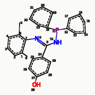 Cc1cccc(C)c1/N=C(/NP(c1ccccc1)c1ccccc1)c1ccc(O)cc1